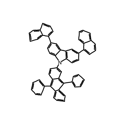 c1ccc(-c2c3ccccc3c(-c3ccccc3)c3cc(-n4c5ccc(-c6cccc7ccccc67)cc5c5cc(-c6cccc7ccccc67)ccc54)ccc23)cc1